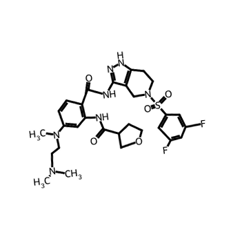 CN(C)CCN(C)c1ccc(C(=O)Nc2n[nH]c3c2CN(S(=O)(=O)c2cc(F)cc(F)c2)CC3)c(NC(=O)C2CCOC2)c1